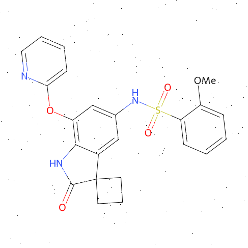 COc1ccccc1S(=O)(=O)Nc1cc(Oc2ccccn2)c2c(c1)C1(CCC1)C(=O)N2